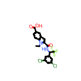 CCn1c(C(=O)NC(c2cc(Cl)cc(Cl)c2)C(F)(F)F)cc2cc(C(=O)O)ccc21